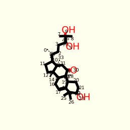 C[C@H](CC[C@@H](O)C(C)(C)O)C1CC[C@@]2(C)C3CC=C4C(CC[C@H](O)C4(C)C)[C@]3(C)C(=O)C[C@]12C